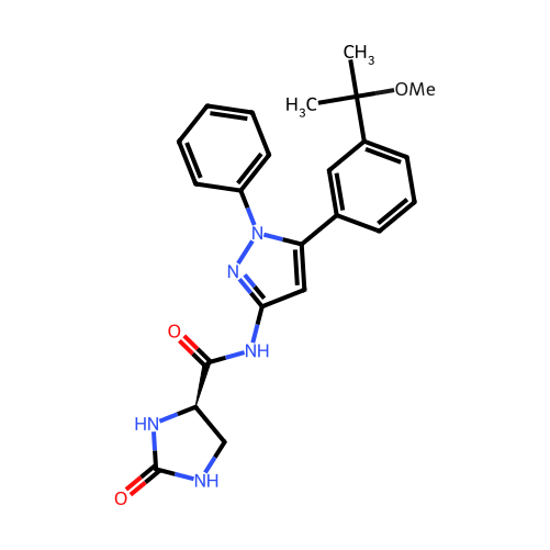 COC(C)(C)c1cccc(-c2cc(NC(=O)[C@H]3CNC(=O)N3)nn2-c2ccccc2)c1